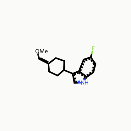 COC=C1CCC(c2c[nH]c3ccc(F)cc23)CC1